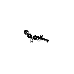 CC(C)CCCCC(=O)N(O)Cc1ccc(Nc2ccc(N3CCCCC3)cc2)cc1